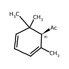 CC(=O)[C@H]1C(C)=CC=CC1(C)C